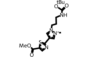 COC(=O)c1cnc(-c2cn(CCCNC(=O)OC(C)(C)C)[n+](C)c2)s1